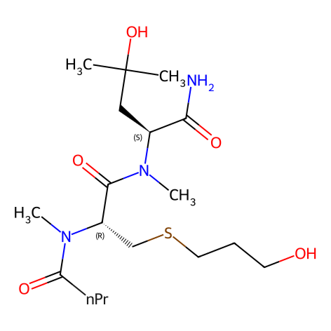 CCCC(=O)N(C)[C@@H](CSCCCO)C(=O)N(C)[C@@H](CC(C)(C)O)C(N)=O